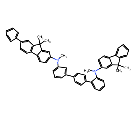 CN(c1cccc(-c2ccc(-c3ccccc3N(C)c3ccc4c(c3)C(C)(C)c3ccccc3-4)cc2)c1)c1ccc2c(c1)C(C)(C)c1cc(-c3ccccc3)ccc1-2